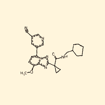 COc1ccc(-c2cncc(C#N)c2)n2nc(C3(C(=O)NCC4CCCCC4)CC3)nc12